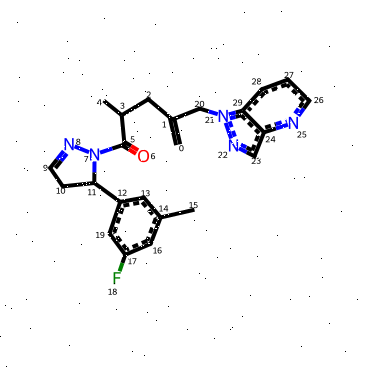 C=C(CC(C)C(=O)N1N=CCC1c1cc(C)cc(F)c1)Cn1ncc2ncccc21